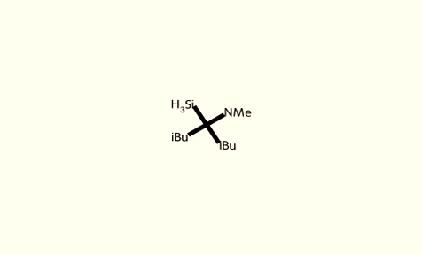 CCC(C)C([SiH3])(NC)C(C)CC